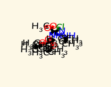 COC(=O)c1cn(C2CC(O[Si](C)(C)C(C)(C)C)C(CO[Si](C)(C)C(C)(C)C)O2)c2nc(N[Si](C)(C)C(C)(C)C)nc(Cl)c12